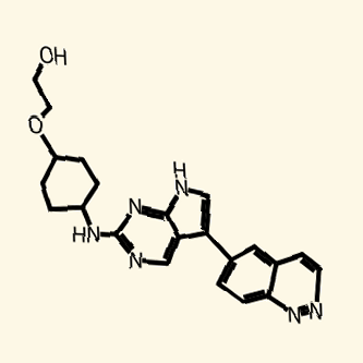 OCCOC1CCC(Nc2ncc3c(-c4ccc5nnccc5c4)c[nH]c3n2)CC1